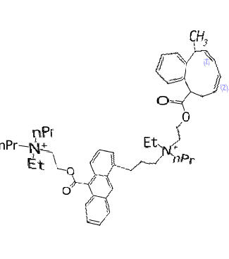 CCC[N+](CC)(CCC)CCOC(=O)c1c2ccccc2cc2c(CCC[N+](CC)(CCC)CCOC(=O)C3C/C=C\C=C/C(C)c4ccccc43)cccc12